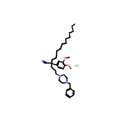 CCCCCCCCCCCCC(C#N)(CCCN1CCN(Cc2ccccc2)CC1)c1ccc(OC)c(OC)c1.Cl